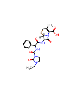 CCN1CCN(C(=O)NC(C(=O)NC2C(=O)N3C(C(=O)O)=C(C)CS[C@@H]23)c2ccccc2)C1=O